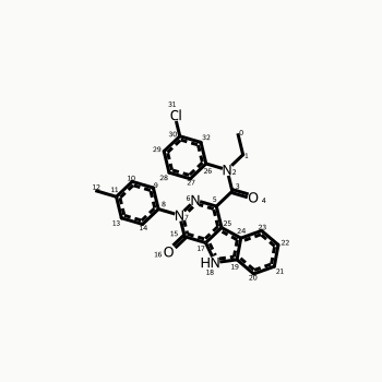 CCN(C(=O)c1nn(-c2ccc(C)cc2)c(=O)c2[nH]c3ccccc3c12)c1cccc(Cl)c1